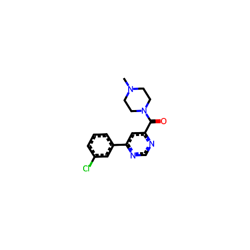 CN1CCN(C(=O)c2cc(-c3cccc(Cl)c3)ncn2)CC1